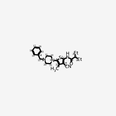 CCC(CC)C(=O)Nc1sc(N2CCN(Cc3ccccc3)CC2)c(C)c1C#N